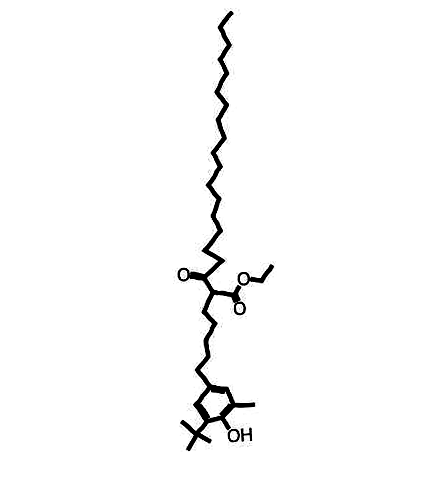 CCCCCCCCCCCCCCCCCC(=O)C(CCCCCc1cc(C)c(O)c(C(C)(C)C)c1)C(=O)OCC